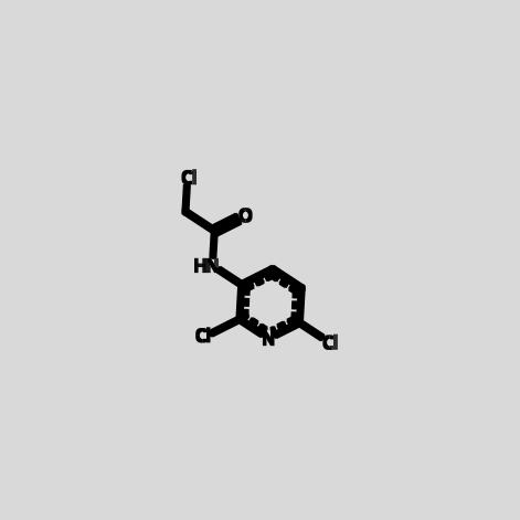 O=C(CCl)Nc1ccc(Cl)nc1Cl